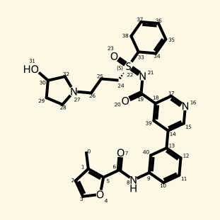 Cc1ccoc1C(=O)Nc1cccc(-c2cncc(C(=O)N=[S@](=O)(CCCN3CCC(O)C3)C3C=CC=CC3)c2)c1